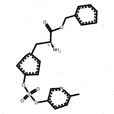 Cc1ccc(OS(=O)(=O)Oc2ccc(C[C@H](N)C(=O)OCc3ccccc3)cc2)cn1